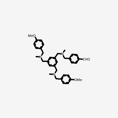 COc1ccc(CN(C)Cc2cc(CN(C)Cc3ccc(C=O)cc3)cc(CN(C)Cc3ccc(OC)cc3)c2)cc1